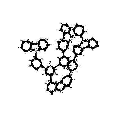 c1ccc(-n2c3ccccc3c3cc(-c4ccc(-c5ccc6oc7cccc(-c8nc(-c9cccc(-c%10ccc%11c(c%10)oc%10ccccc%10%11)c9)nc(-c9cccc(-n%10c%11ccccc%11c%11ccccc%11%10)c9)n8)c7c6c5)cc4)ccc32)cc1